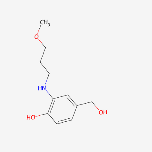 COCCCNc1cc(CO)ccc1O